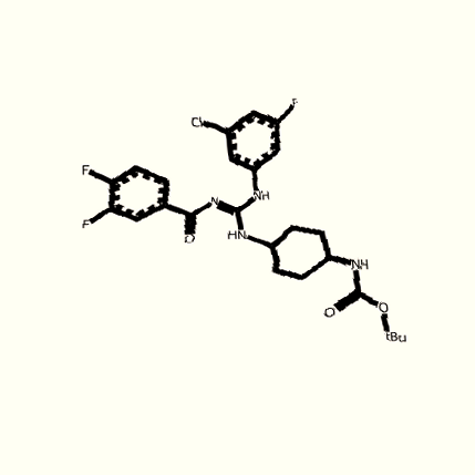 CC(C)(C)OC(=O)NC1CCC(N/C(=N\C(=O)c2ccc(F)c(F)c2)Nc2cc(F)cc(Cl)c2)CC1